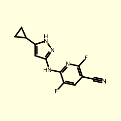 N#Cc1cc(F)c(Nc2cc(C3CC3)[nH]n2)nc1F